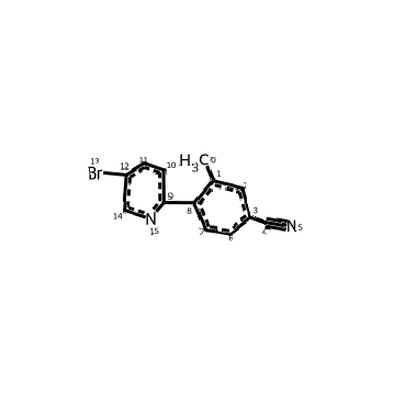 Cc1cc(C#N)ccc1-c1ccc(Br)cn1